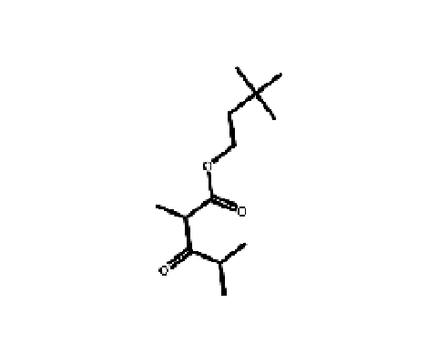 CC(C)C(=O)C(C)C(=O)OCCC(C)(C)C